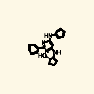 O[C@H]1CCCC1Nc1cc(Nc2ccccc2)nc(-c2ccccc2)n1